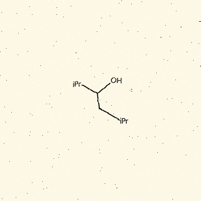 [CH2]C(C)C(O)CC(C)C